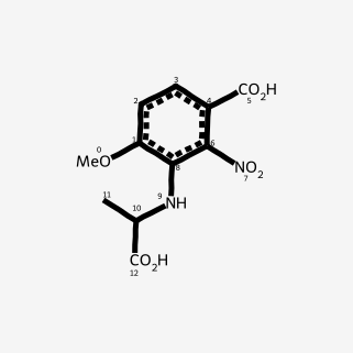 COc1ccc(C(=O)O)c([N+](=O)[O-])c1NC(C)C(=O)O